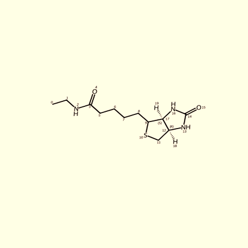 CCNC(=O)CCCCC1SC[C@@H]2NC(=O)N[C@H]12